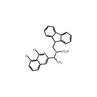 CC(c1cc2cccc(Cl)c2c(Cl)n1)N(CC1c2ccccc2-c2ccccc21)C(=O)O